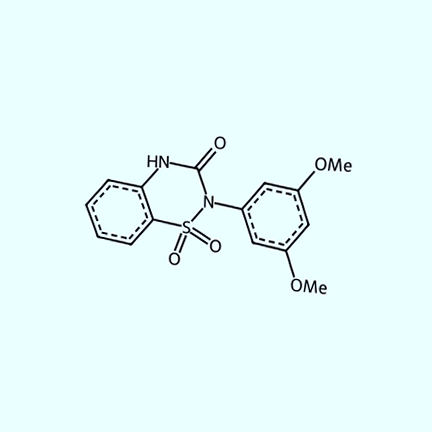 COc1cc(OC)cc(N2C(=O)Nc3ccccc3S2(=O)=O)c1